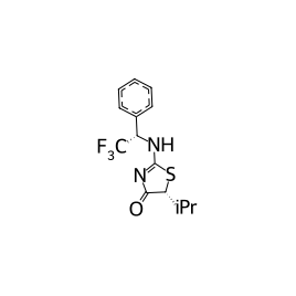 CC(C)[C@H]1SC(N[C@@H](c2ccccc2)C(F)(F)F)=NC1=O